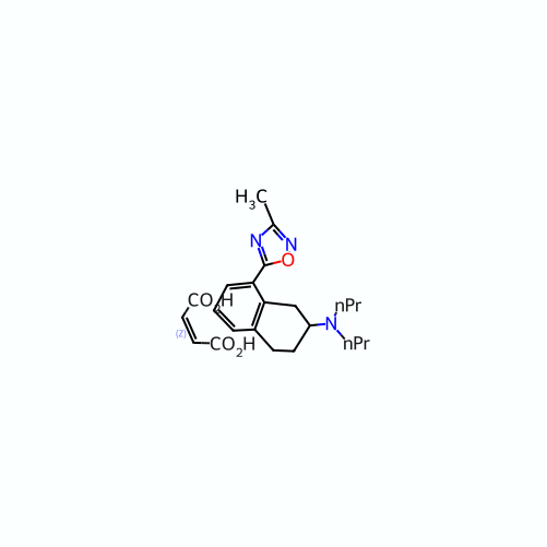 CCCN(CCC)C1CCc2cccc(-c3nc(C)no3)c2C1.O=C(O)/C=C\C(=O)O